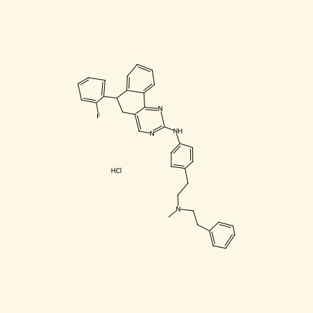 CN(CCc1ccccc1)CCc1ccc(Nc2ncc3c(n2)-c2ccccc2C(c2ccccc2F)C3)cc1.Cl